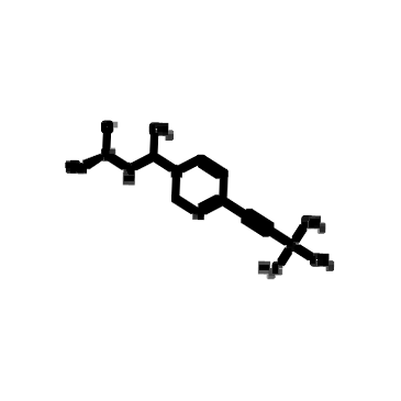 CC(N[S@+]([O-])C(C)(C)C)N1C=CC(C#C[Si](C)(C)C)=NC1